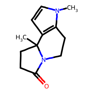 Cn1ccc2c1CCN1C(=O)CCC21C